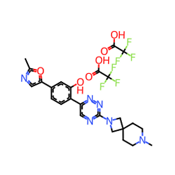 Cc1ncc(-c2ccc(-c3cnc(N4CC5(CCN(C)CC5)C4)nn3)c(O)c2)o1.O=C(O)C(F)(F)F.O=C(O)C(F)(F)F